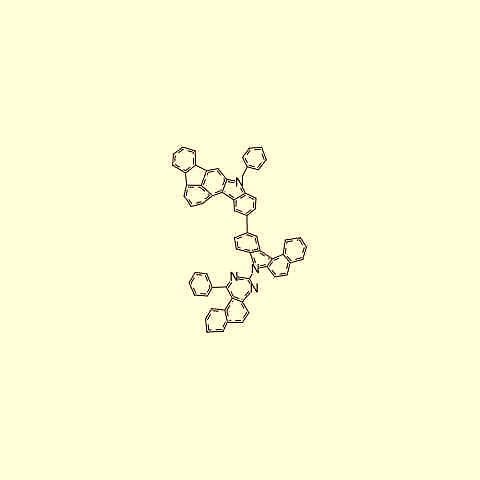 c1ccc(-c2nc(-n3c4ccc(-c5ccc6c(c5)c5c7cccc8c7c(cc5n6-c5ccccc5)-c5ccccc5-8)cc4c4c5ccccc5ccc43)nc3ccc4ccccc4c23)cc1